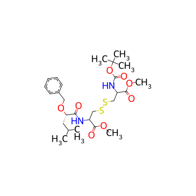 COC(=O)C(CSSCC(NC(=O)[C@H](CC(C)C)OCc1ccccc1)C(=O)OC)NC(=O)OC(C)(C)C